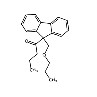 CCCOCC1(C(=O)CCC)c2ccccc2-c2ccccc21